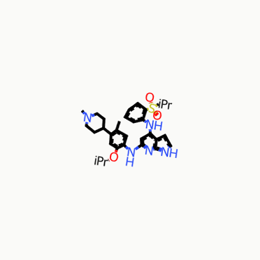 Cc1cc(Nc2cc(Nc3ccccc3S(=O)(=O)C(C)C)c3cc[nH]c3n2)c(OC(C)C)cc1C1CCN(C)CC1